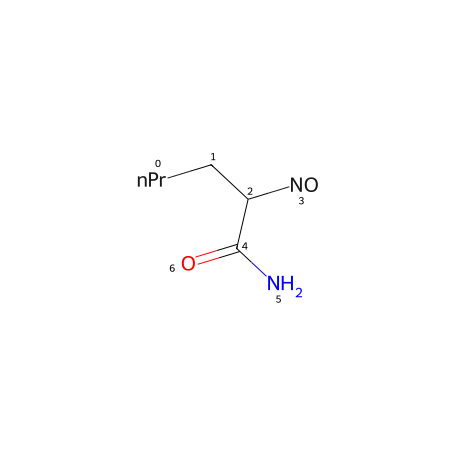 CCCCC(N=O)C(N)=O